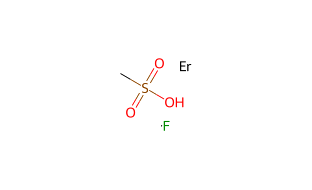 CS(=O)(=O)O.[Er].[F]